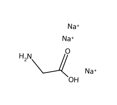 NCC(=O)O.[Na+].[Na+].[Na+]